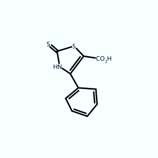 O=C(O)c1sc(=S)[nH]c1-c1ccccc1